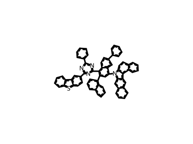 c1ccc(-c2ccc3c(-c4nc(-c5ccccc5)nc(-c5ccc6sc7ccccc7c6c5)n4)c(-c4cccc5ccccc45)cc(-n4c5cc6ccccc6cc5c5c6ccccc6ccc54)c3c2)cc1